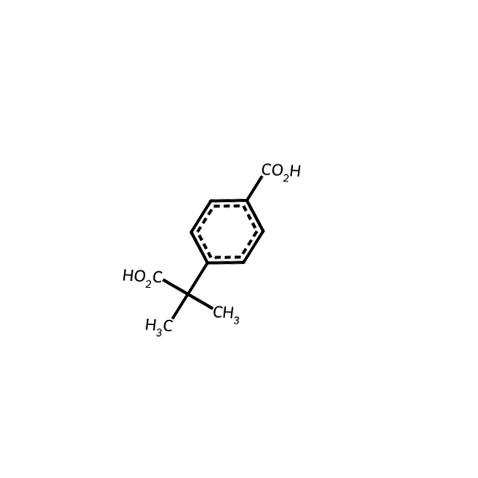 CC(C)(C(=O)O)c1ccc(C(=O)O)cc1